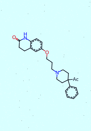 CC(=O)C1(c2ccccc2)CCN(CCCOc2ccc3c(c2)CCC(=O)N3)CC1